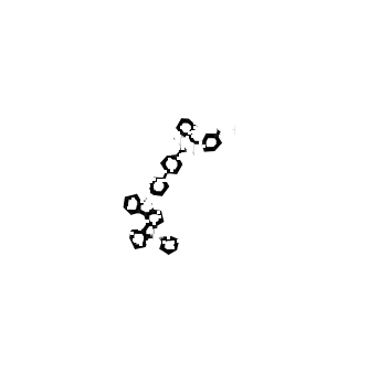 Cc1cccc(-c2nc(-c3ccc(-c4ccc(-n5c6ccccc6c6c7c8ccccc8n(-c8ccccc8)c7ccc65)cc4)cc3)nc3ccccc23)c1